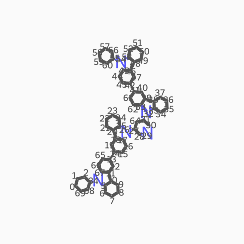 c1ccc(-n2c3ccccc3c3cc(-c4ccc5c(c4)c4ccccc4n5-c4cncc(-n5c6ccccc6c6cc(-c7ccc8c(c7)c7ccccc7n8-c7ccccc7)ccc65)c4)ccc32)cc1